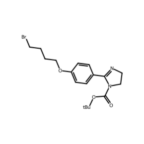 CC(C)(C)OC(=O)N1CCN=C1c1ccc(OCCCCBr)cc1